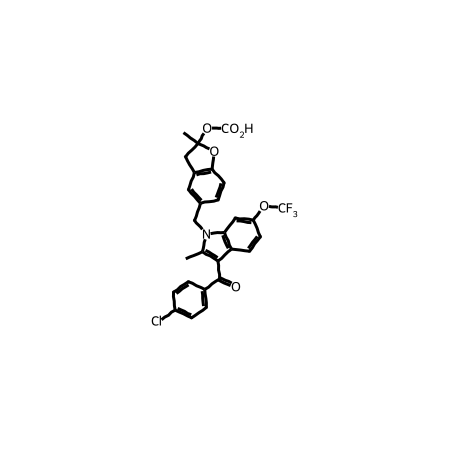 Cc1c(C(=O)c2ccc(Cl)cc2)c2ccc(OC(F)(F)F)cc2n1Cc1ccc2c(c1)CC(C)(OC(=O)O)O2